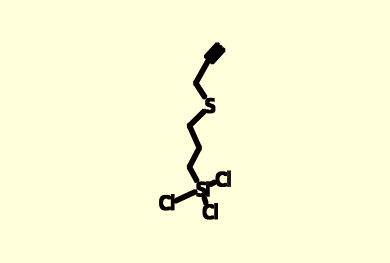 C#CCSCCC[Si](Cl)(Cl)Cl